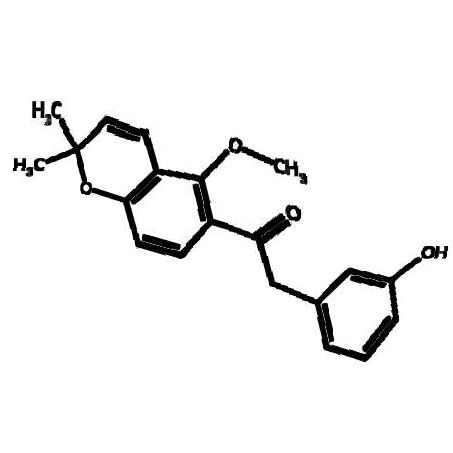 COc1c(C(=O)Cc2cccc(O)c2)ccc2c1C=CC(C)(C)O2